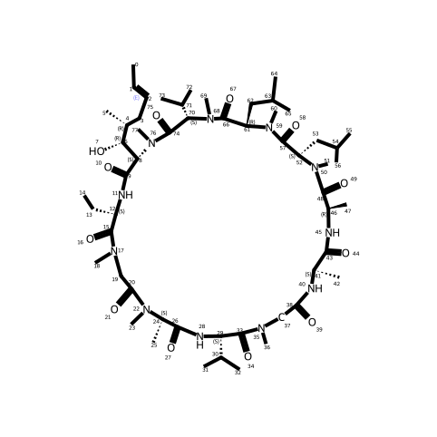 C/C=C/C[C@@H](C)[C@@H](O)[C@H]1C(=O)N[C@@H](CC)C(=O)N(C)CC(=O)N(C)[C@@H](C)C(=O)N[C@@H](C(C)C)C(=O)N(C)CC(=O)N[C@@H](C)C(=O)N[C@H](C)C(=O)N(C)[C@@H](CC(C)C)C(=O)N(C)[C@H](CC(C)C)C(=O)N(C)[C@@H](C(C)C)C(=O)N1C